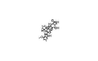 COc1cccc2[nH]c(C(=O)N3C[C@@H]4CCC[C@@H]4[C@H]3C(=O)NC(C[C@@H]3CCNC3=O)C(=O)CO)nc12